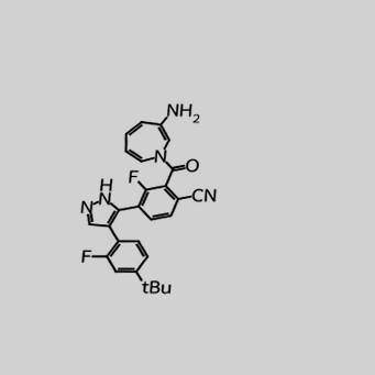 CC(C)(C)c1ccc(-c2cn[nH]c2-c2ccc(C#N)c(C(=O)N3C=CC=CC(N)=C3)c2F)c(F)c1